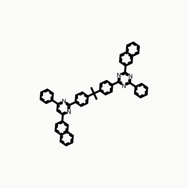 CC(C)(c1ccc(-c2nc(-c3ccccc3)cc(-c3ccc4ccccc4c3)n2)cc1)c1ccc(-c2nc(-c3ccccc3)nc(-c3ccc4ccccc4c3)n2)cc1